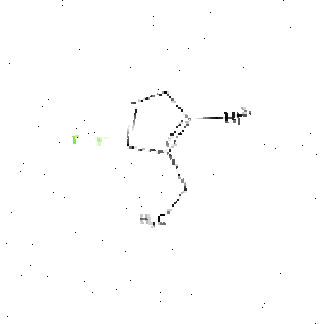 CCC1=[C]([Hf+2])CC=C1.[F-].[F-]